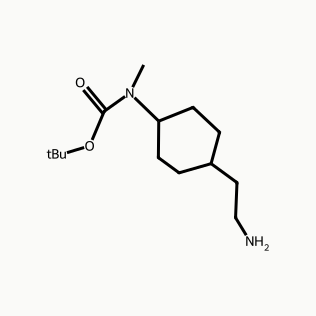 CN(C(=O)OC(C)(C)C)C1CCC(CCN)CC1